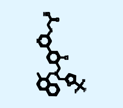 Cc1ccc2ccccc2c1CN(Cc1ccc(C(F)(F)F)o1)Cc1ccc(-c2cncc(SCC(=O)O)c2)cc1Cl